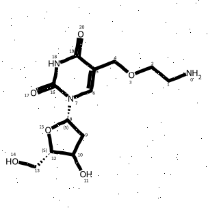 NCCOCc1cn([C@@H]2CC(O)[C@H](CO)O2)c(=O)[nH]c1=O